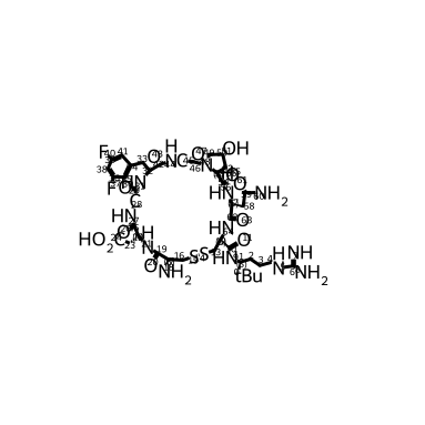 CC(C)(C)[C@H](CCCNC(=N)N)NC(=O)[C@H]1CSSC[C@@H](N)C(=O)N[C@H](CC(=O)O)C(=O)NCC(=O)NC(Cc2cc(F)cc(F)c2)C(=O)NCC(=O)N2CC(O)C[C@H]2C(=O)N[C@@H](CC(N)=O)C(=O)N1